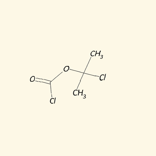 CC(C)(Cl)OC(=O)Cl